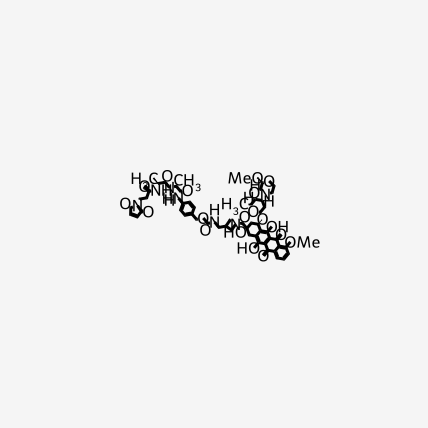 COc1cccc2c1C(=O)c1c(O)c3c(c(O)c1C2=O)C[C@@](O)(C(=O)N1CC(CNC(=O)OCc2ccc(NC(=O)[C@H](C)NC(=O)[C@H](C)NC(=O)CCN4C(=O)C=CC4=O)cc2)C1)C[C@@H]3O[C@H]1C[C@H]2[C@H](O[C@@H]3[C@@H](OC)OCCN32)[C@H](C)O1